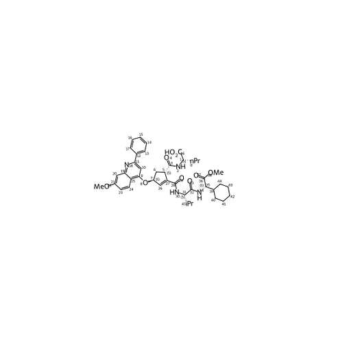 CCC[C@H](NC(=O)[C@H]1C[C@H](Oc2cc(-c3ccccc3)nc3cc(OC)ccc23)C=C1C(=O)N[C@H](C(=O)N[C@H](C(=O)OC)C1CCCCC1)C(C)C)C(=O)O